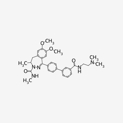 CNC(=O)N1N=C(c2ccc(-c3cccc(C(=O)NCCN(C)C)c3)cc2)c2cc(OC)c(OC)cc2CC1C